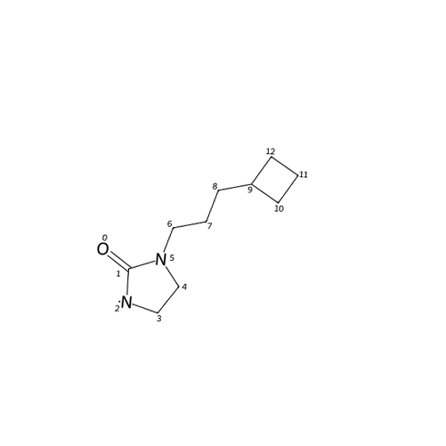 O=C1[N]CCN1CCCC1CCC1